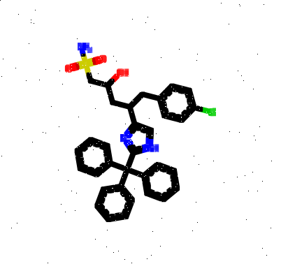 NS(=O)(=O)CC(O)CC(Cc1ccc(Cl)cc1)c1c[nH]c(C(c2ccccc2)(c2ccccc2)c2ccccc2)n1